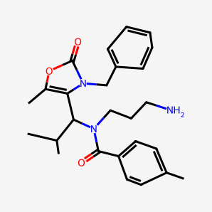 Cc1ccc(C(=O)N(CCCN)C(c2c(C)oc(=O)n2Cc2ccccc2)C(C)C)cc1